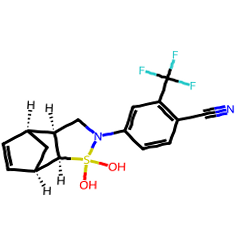 N#Cc1ccc(N2C[C@H]3[C@H]([C@H]4C=C[C@@H]3C4)S2(O)O)cc1C(F)(F)F